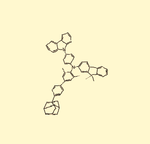 Cc1cc(-c2ccc(C34CC5CC(CC(C5)C3)C4)cc2)cc(C)c1N(c1ccc(-n2c3ccccc3c3ccccc32)cc1)c1ccc2c(c1)C(C)(C)c1ccccc1-2